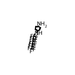 Nc1ccc(NCC(F)(F)C(F)(F)C(F)(F)C(F)(F)C(F)(F)C(F)(F)F)cc1